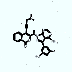 CC(c1oc(=O)c2ccccc2c1C#CCN(C)C)n1nc(-c2cc(O)cc(F)c2)c2c(N)ncnc21